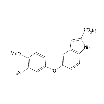 CCOC(=O)c1cc2cc(Oc3ccc(OC)c(C(C)C)c3)ccc2[nH]1